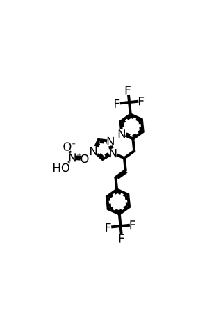 FC(F)(F)c1ccc(C=CC(Cc2ccc(C(F)(F)F)cn2)n2cncn2)cc1.O=[N+]([O-])O